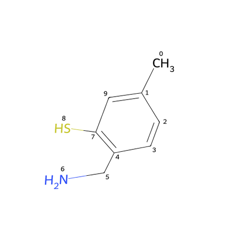 Cc1ccc(CN)c(S)c1